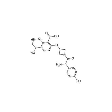 NC(C(=O)N1CC(Oc2ccc3c(c2C(=O)O)OBCC3O)C1)c1ccc(O)cc1